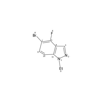 CCn1ncc2c(F)c(Br)ccc21